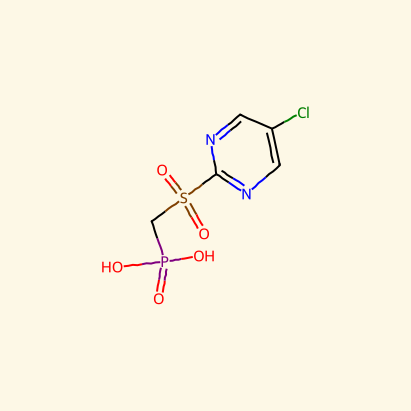 O=P(O)(O)CS(=O)(=O)c1ncc(Cl)cn1